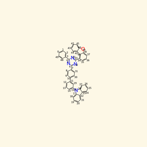 c1ccc(-c2nc(-c3ccc(-c4cccc(-n5c6ccccc6c6ccccc65)c4)cc3)nc(-c3cccc4oc5ccccc5c34)n2)cc1